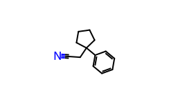 N#CCC1(c2ccccc2)CCCC1